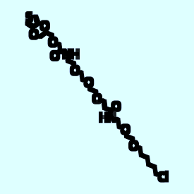 O=C(C=COCCOCCOCCNC(=O)COCC1COc2cscc2O1)NCCOCCOCCCCCCCl